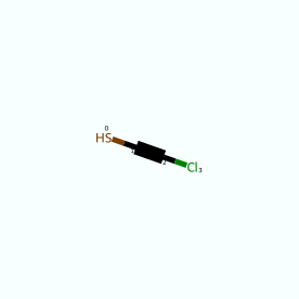 SC#CCl